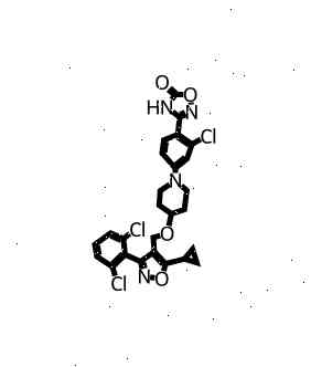 O=c1[nH]c(-c2ccc(N3CCC(OCc4c(-c5c(Cl)cccc5Cl)noc4C4CC4)CC3)cc2Cl)no1